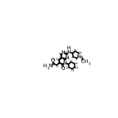 CSN1CCC(Nc2ncc3cc(CC(N)=O)c(=O)n(C4CCCCC4)c3n2)CC1